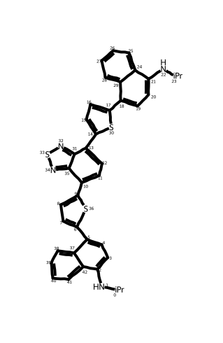 CC(C)Nc1ccc(-c2ccc(-c3ccc(-c4ccc(-c5ccc(NC(C)C)c6ccccc56)s4)c4nsnc34)s2)c2ccccc12